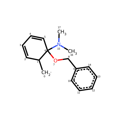 [CH2]C1C=CC=CC1(OCc1ccccc1)N(C)C